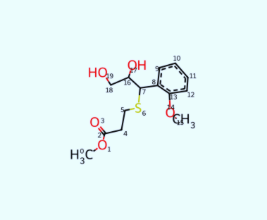 COC(=O)CCSC(c1ccccc1OC)C(O)CO